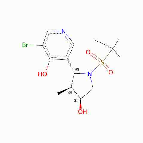 C[C@@H]1[C@H](O)CN(S(=O)(=O)C(C)(C)C)[C@H]1c1cncc(Br)c1O